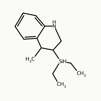 CC[SiH](CC)C1CNc2ccccc2C1C